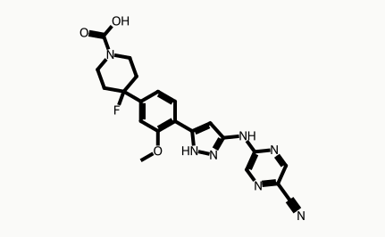 COc1cc(C2(F)CCN(C(=O)O)CC2)ccc1-c1cc(Nc2cnc(C#N)cn2)n[nH]1